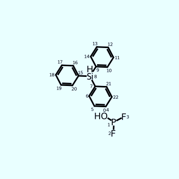 OP(F)F.c1ccc([SiH](c2ccccc2)c2ccccc2)cc1